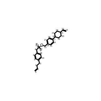 C=CCCc1ccc(CC(F)(F)OCc2ccc(C3CCC(C=C)CC3)cc2)cc1